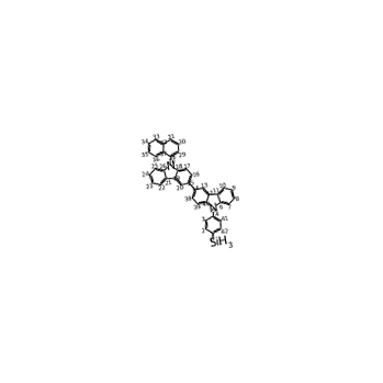 [SiH3]c1ccc(-n2c3ccccc3c3cc(-c4ccc5c(c4)c4ccccc4n5-c4cccc5ccccc45)ccc32)cc1